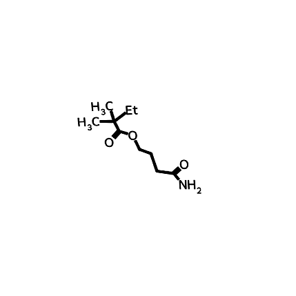 CCC(C)(C)C(=O)OCCCC(N)=O